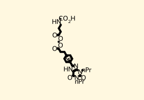 CCCn1c(=O)c2[nH]c(C34CCC(CCC(=O)OCOC(=O)CCCNC(=O)O)(CC3)CC4)nc2n(CCC)c1=O